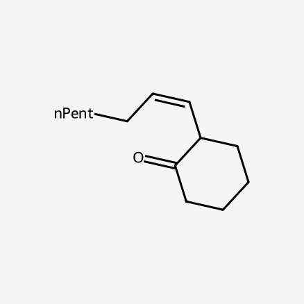 CCCCCC/C=C\C1CCCCC1=O